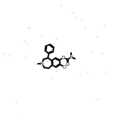 CN1CCc2cc(Cl)c(OC(=O)N(C)C)cc2C(c2ccccc2)C1